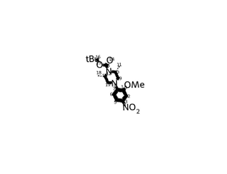 COc1cc([N+](=O)[O-])ccc1N1C[C@@H](C)N(C(=O)OC(C)(C)C)[C@@H](C)C1